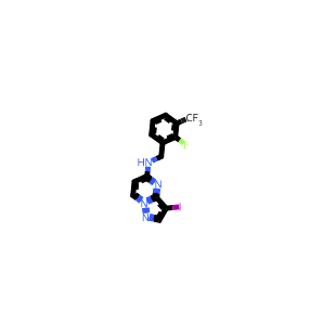 Fc1c(CNc2ccn3ncc(I)c3n2)cccc1C(F)(F)F